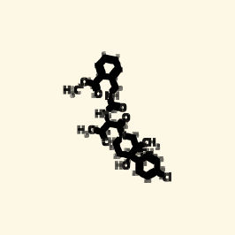 COC(=O)c1ccccc1CNC(=O)N[C@@H](C(=O)N1CC[C@](O)(c2ccc(Cl)cc2)C(C)(C)C1)C(C)C